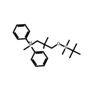 CC(C)(CO[Si](C)(C)C(C)(C)C)C[PH](C)(c1ccccc1)c1ccccc1